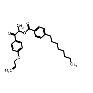 C=CCOc1ccc(C(=O)C(C)OC(=O)c2ccc(CCCCCCCC)cc2)cc1